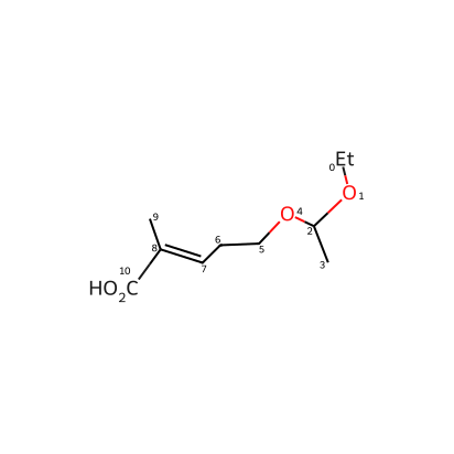 CCOC(C)OCCC=C(C)C(=O)O